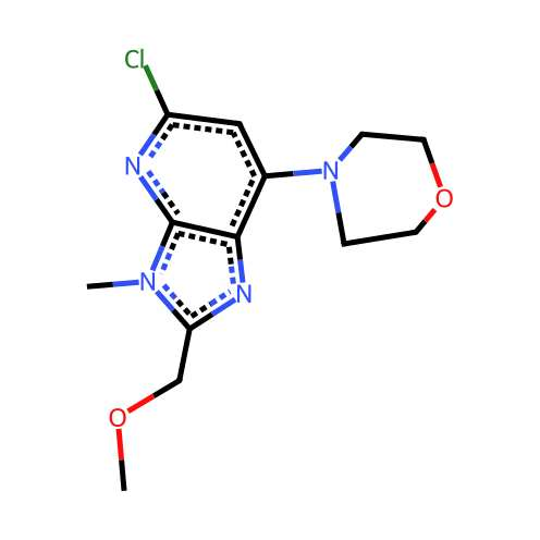 COCc1nc2c(N3CCOCC3)cc(Cl)nc2n1C